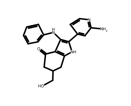 Nc1cc(-c2[nH]c3c(c2Nc2ccccc2)C(=O)CC(CO)C3)ccn1